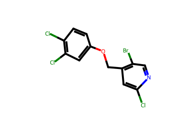 Clc1cc(COc2ccc(Cl)c(Cl)c2)c(Br)cn1